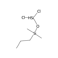 CCC[Si](C)(C)O[SiH](Cl)Cl